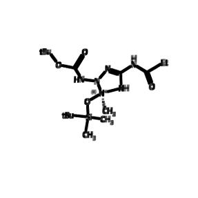 CCC(=O)NC1=NN(NC(=O)OC(C)(C)C)[N@+](C)(O[Si](C)(C)C(C)(C)C)N1